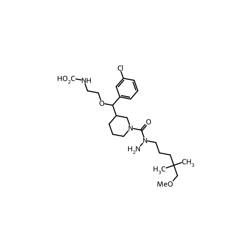 COCC(C)(C)CCCN(N)C(=O)N1CCCC(C(OCCNC(=O)O)c2cccc(Cl)c2)C1